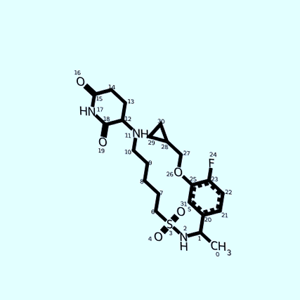 CC(NS(=O)(=O)CCCCCNC1CCC(=O)NC1=O)c1ccc(F)c(OCC2CC2)c1